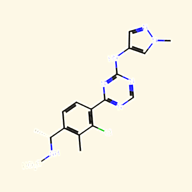 Cc1c([C@@H](C)NC(=O)O)ccc(-c2ncnc(Nc3cnn(C)c3)n2)c1Cl